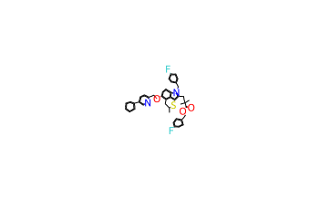 CC1Cc2c(OCc3ccc(-c4ccccc4)cn3)ccc3c2c(c(CC(C)(C)C(=O)OCc2ccc(F)cc2)n3Cc2ccc(F)cc2)S1